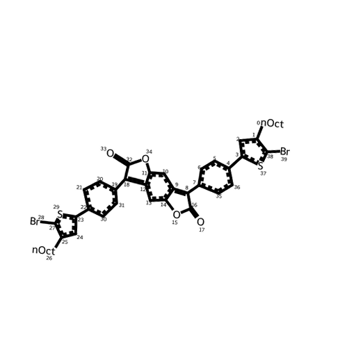 CCCCCCCCc1cc(-c2ccc(C3=c4cc5c(cc4OC3=O)=C(c3ccc(-c4cc(CCCCCCCC)c(Br)s4)cc3)C(=O)O5)cc2)sc1Br